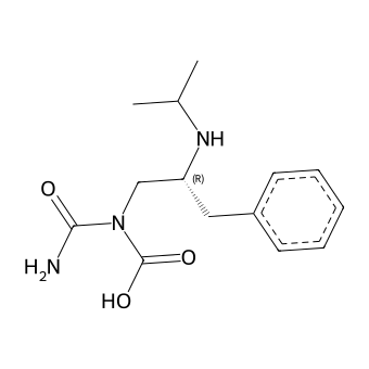 CC(C)N[C@H](Cc1ccccc1)CN(C(N)=O)C(=O)O